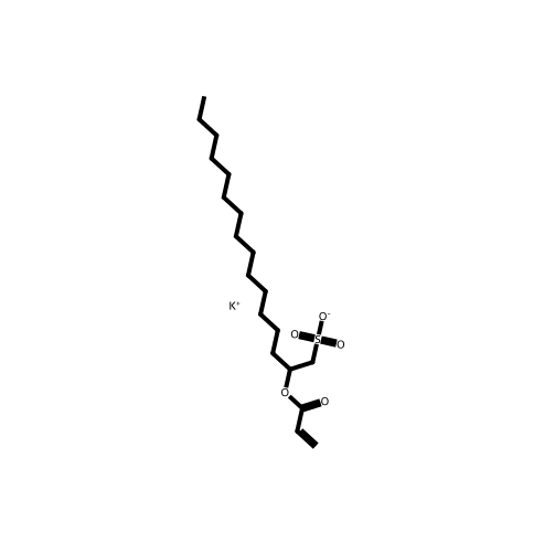 C=CC(=O)OC(CCCCCCCCCCCCCC)CS(=O)(=O)[O-].[K+]